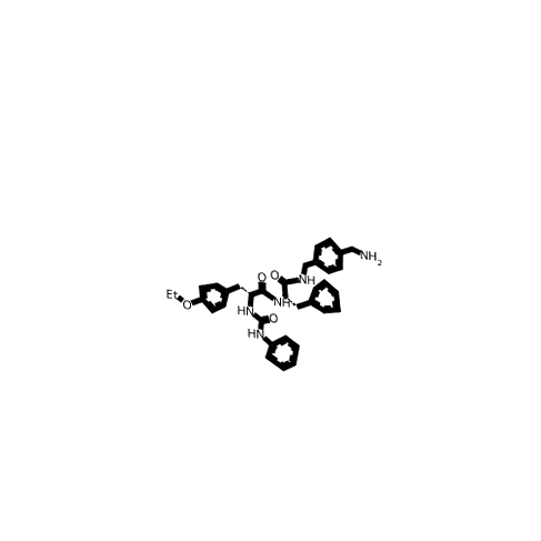 CCOc1ccc(C[C@@H](NC(=O)Nc2ccccc2)C(=O)N[C@@H](Cc2ccccc2)C(=O)NCc2ccc(CN)cc2)cc1